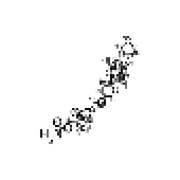 CC(C)(C)C(COC(N)=O)S(=O)(=O)CCCOc1ccc(N2C[C@H]3CN(Cc4ccccc4)C[C@@H]2C(C)(C)C3)cc1